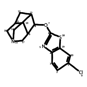 Clc1ccc2nc(OC3C4CC5CC3CN(C5)C4)sc2c1